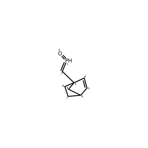 O=[PH]=CC12C=CC(CC1)C2